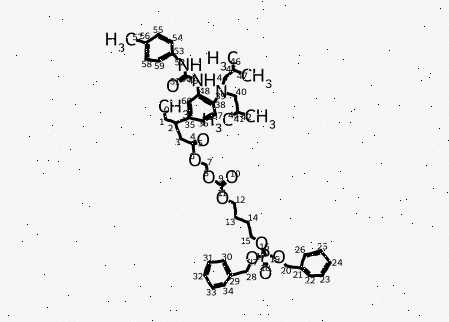 CCC(CC(=O)OCOC(=O)OCCCCOP(=O)(OCc1ccccc1)OCc1ccccc1)c1ccc(N(CC(C)C)CC(C)C)c(NC(=O)Nc2ccc(C)cc2)c1